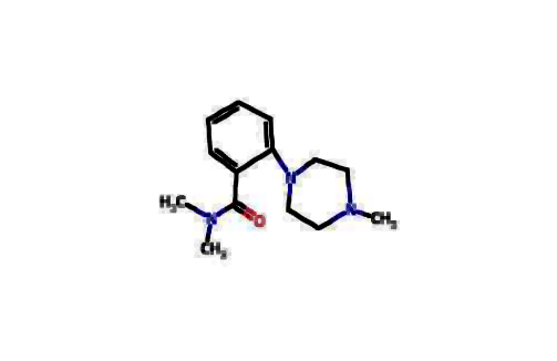 CN1CCN(c2ccccc2C(=O)N(C)C)CC1